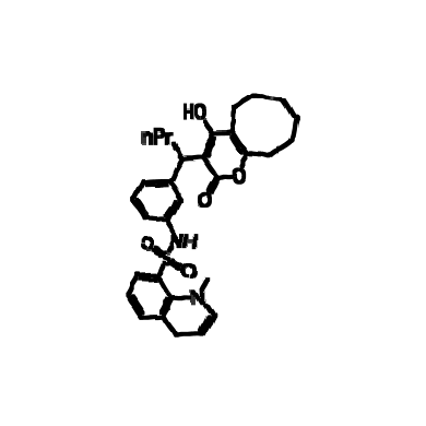 CCCC(c1cccc(NS(=O)(=O)c2cccc3c2N(C)C=CC3)c1)c1c(O)c2c(oc1=O)CCCCCC2